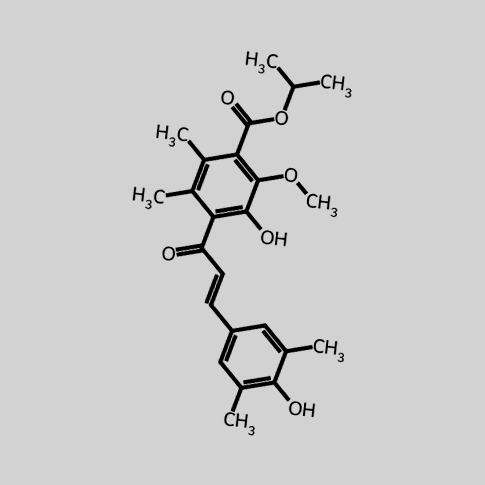 COc1c(O)c(C(=O)C=Cc2cc(C)c(O)c(C)c2)c(C)c(C)c1C(=O)OC(C)C